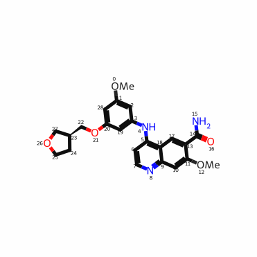 COc1cc(Nc2ccnc3cc(OC)c(C(N)=O)cc23)cc(OC[C@H]2CCOC2)c1